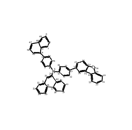 c1ccc2c(-c3ccc(N(c4ccc(-c5ccc6oc7ccccc7c6c5)cc4)c4cc5ccccc5c5ccccc45)cc3)cccc2c1